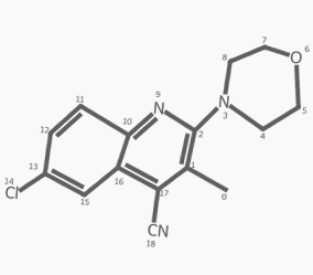 Cc1c(N2CCOCC2)nc2ccc(Cl)cc2c1C#N